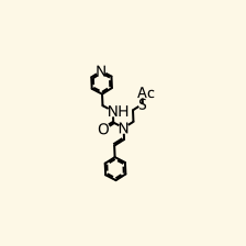 CC(=O)SCCN(C=Cc1ccccc1)C(=O)NCc1ccncc1